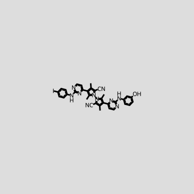 Cc1c(-c2ccnc(Nc3ccc(I)cc3)n2)c(C)n(-n2c(C)c(-c3ccnc(Nc4cccc(O)c4)n3)c(C)c2C#N)c1C#N